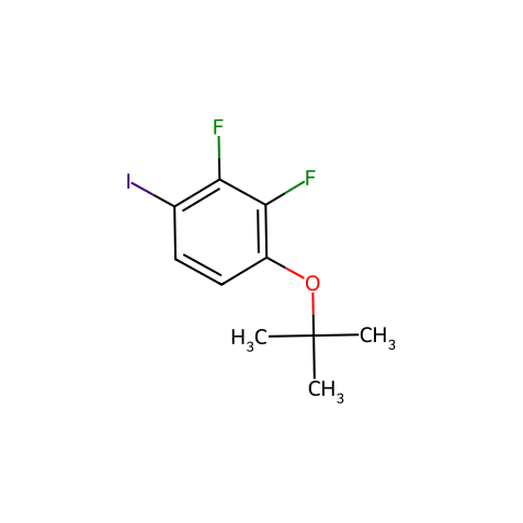 CC(C)(C)Oc1ccc(I)c(F)c1F